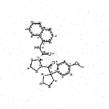 COc1ccc(C2(C(=O)N3CCC[C@@H]3C(=O)Nc3cccc4ccccc34)CCCC2)cc1